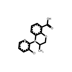 CC1COc2c(C(=O)O)cccc2N1c1ncccc1Cl